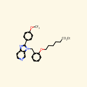 CCOC(=O)CCCCCOc1ccccc1Cn1c(-c2ccc(OC(F)(F)F)cc2)nc2ccncc21